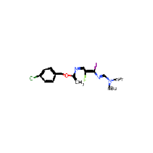 C=C(\N=C/C(F)=C(I)/N=C/N(CCC)CCCC)OCc1ccc(Cl)cc1